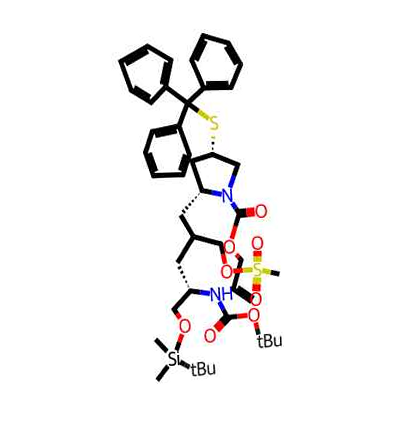 C=CCOC(=O)N1C[C@@H](SC(c2ccccc2)(c2ccccc2)c2ccccc2)C[C@H]1CC(COS(C)(=O)=O)C[C@@H](CO[Si](C)(C)C(C)(C)C)NC(=O)OC(C)(C)C